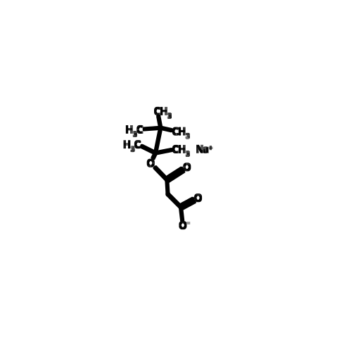 CC(C)(C)C(C)(C)OC(=O)CC(=O)[O-].[Na+]